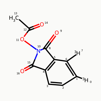 [3H]c1ccc2c(c1[3H])C(=O)N(OC(C)=O)C2=O